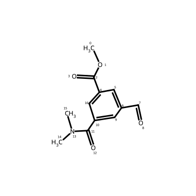 COC(=O)c1cc(C=O)cc(C(=O)N(C)C)c1